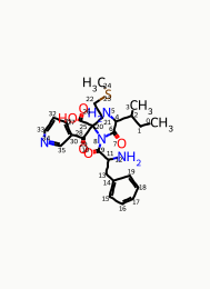 CCC(C)C(N)C(=O)N(C(=O)C(N)Cc1ccccc1)C(CCSC)(C(=O)O)C(=O)c1cccnc1